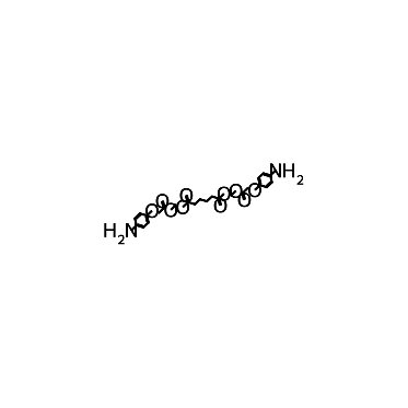 Nc1ccc(OCC(=O)OCOC(=O)CCCCC(=O)OCOC(=O)COc2ccc(N)cc2)cc1